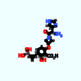 N[C@H](C(=O)N1CC(Oc2ccc([C@H]3C[C@H]3B(O)O)c(O)c2C(=O)O)C1)c1c[nH]cn1